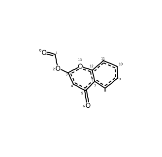 O=COc1cc(=O)c2ccccc2o1